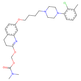 Cc1cccc(N2CCN(CCCCOc3ccc4c(c3)N=C(OCOC(=O)N(C)C)CC4)CC2)c1Cl